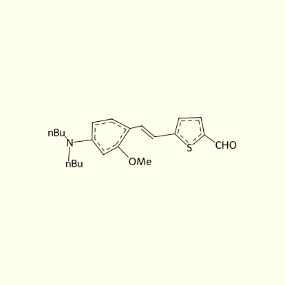 CCCCN(CCCC)c1ccc(/C=C/c2ccc(C=O)s2)c(OC)c1